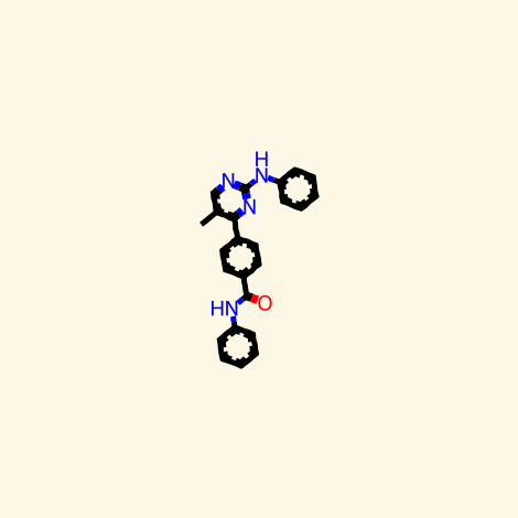 Cc1cnc(Nc2ccccc2)nc1-c1ccc(C(=O)Nc2ccccc2)cc1